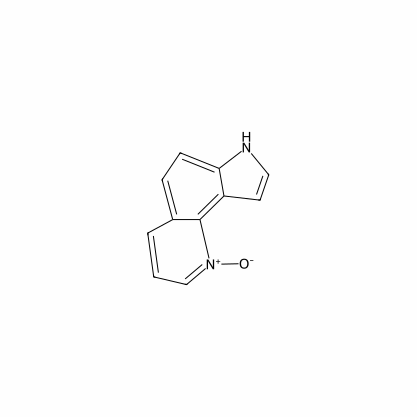 [O-][n+]1cccc2ccc3[nH]ccc3c21